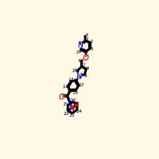 Cc1ccc(OCC2CCN(c3ccc(C(=O)N4CC5CCC(CC5)C4)cc3)C2)cn1